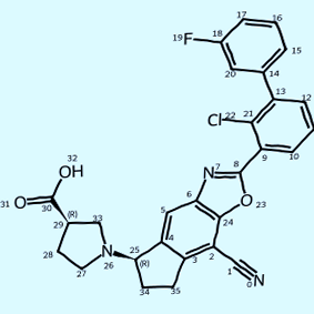 N#Cc1c2c(cc3nc(-c4cccc(-c5cccc(F)c5)c4Cl)oc13)[C@H](N1CC[C@@H](C(=O)O)C1)CC2